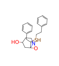 OC1CCN2OC2(/C(Cc2ccccc2)=[SH]/CCc2ccccc2)C1